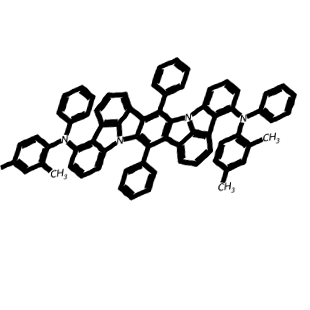 Cc1ccc(N(c2ccccc2)c2cccc3c2c2cccc4c5c(-c6ccccc6)c6c(c(-c7ccccc7)c5n3c24)c2cccc3c4c(N(c5ccccc5)c5ccc(C)cc5C)cccc4n6c32)c(C)c1